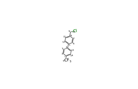 FC(F)(F)c1ccc(-c2ccc(CCl)cc2)cc1